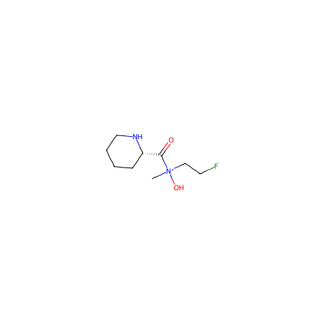 C[N+](O)(CCF)C(=O)[C@@H]1CCCCN1